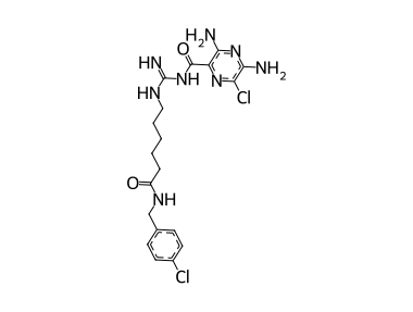 N=C(NCCCCCC(=O)NCc1ccc(Cl)cc1)NC(=O)c1nc(Cl)c(N)nc1N